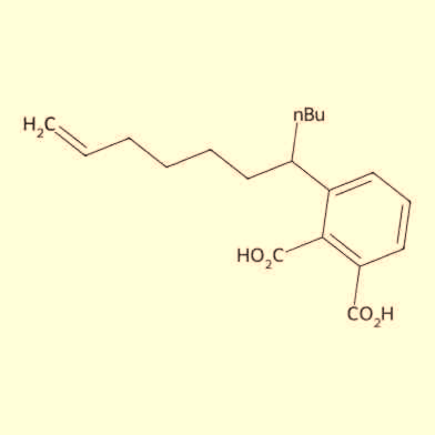 C=CCCCCC(CCCC)c1cccc(C(=O)O)c1C(=O)O